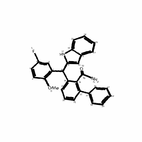 COc1ccc(F)cc1C(c1cc2ccccc2[nH]1)c1cccc(-c2ccccc2)c1C(N)=O